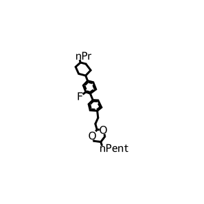 CCCCCC1COC(CCc2ccc(-c3ccc(C4CCC(CCC)CC4)cc3F)cc2)OC1